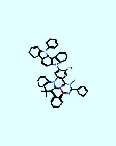 CN1C(c2cc(C#N)c(-n3c4c(c5c3CCC=C5)C3C(C=C4)C4=C(C=CCC4)N3C3=CC=CCC3)cc2N2C3=C(CCC=C3)C(C)(C)c3ccccc32)=NC(c2ccccc2)=NC1C1=CC=CCC1